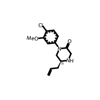 C=CC[C@H]1CN(c2ccc(Cl)c(OC)c2)C(=O)CN1